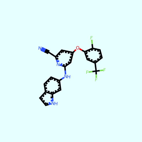 N#Cc1cc(Oc2cc(C(F)(F)F)ccc2F)cc(Nc2ccc3cc[nH]c3c2)n1